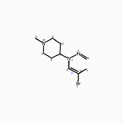 C=NN(/C=C(\C)Br)C1CCN(C)CC1